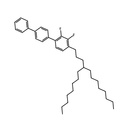 CCCCCCCCC(CCCCCCCC)CCCc1ccc(-c2ccc(-c3ccccc3)cc2)c(F)c1F